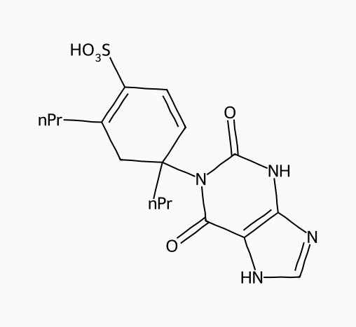 CCCC1=C(S(=O)(=O)O)C=CC(CCC)(n2c(=O)[nH]c3nc[nH]c3c2=O)C1